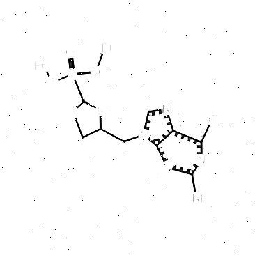 CCOP(=O)(OCC)C1SCC(Cn2cnc3c(Cl)nc(N)nc32)S1